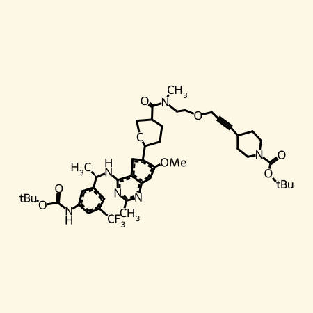 COc1cc2nc(C)nc(N[C@H](C)c3cc(NC(=O)OC(C)(C)C)cc(C(F)(F)F)c3)c2cc1C1CCC(C(=O)N(C)CCOCC#CC2CCN(C(=O)OC(C)(C)C)CC2)CC1